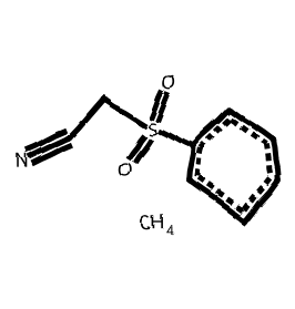 C.N#CCS(=O)(=O)c1ccccc1